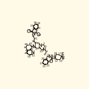 CN1CCN(CC[C@H](NC(=O)C2CCC(F)(F)CC2)c2ccccc2)C[C@@H]1CN(CCCCN1C(=O)c2ccccc2C1=O)[C@H]1CCCc2cccnc21